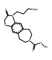 COCCCN1C(=O)COc2cc3c(cc21)CCN(C(=O)OC(C)(C)C)CC3